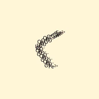 O=P([O-])([O-])[O-].O=P([O-])([O-])[O-].O=P([O-])([O-])[O-].O=P([O-])([O-])[O-].O=P([O-])([O-])[O-].[Ca+2].[Ca+2].[Ca+2].[Fe+2].[Fe+2].[Fe+2].[Li+].[Li+].[Li+]